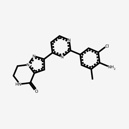 Cc1cc(-c2nccc(-c3cc4n(n3)CCNC4=O)n2)cc(Cl)c1N